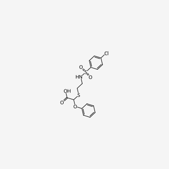 O=C(O)C(Oc1ccccc1)SCCNS(=O)(=O)c1ccc(Cl)cc1